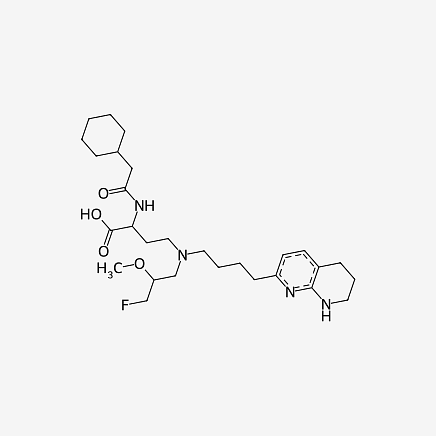 COC(CF)CN(CCCCc1ccc2c(n1)NCCC2)CCC(NC(=O)CC1CCCCC1)C(=O)O